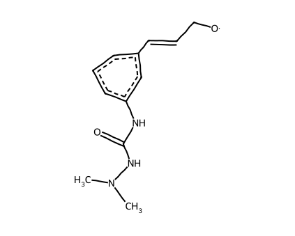 CN(C)NC(=O)Nc1cccc(/C=C/C[O])c1